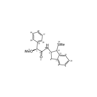 CO[C@H](C(=O)NC1Cc2ccccc2C1SC)c1ccccc1